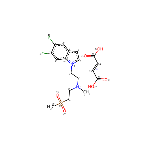 CN(CCn1ccc2cc(F)c(F)cc21)CCS(C)(=O)=O.O=C(O)/C=C/C(=O)O